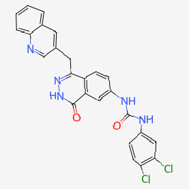 O=C(Nc1ccc(Cl)c(Cl)c1)Nc1ccc2c(Cc3cnc4ccccc4c3)n[nH]c(=O)c2c1